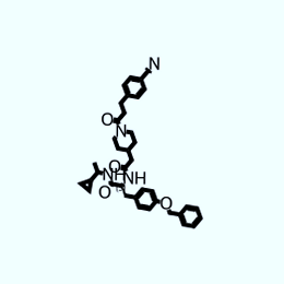 CC(NC(=O)[C@H](Cc1ccc(OCc2ccccc2)cc1)NC(=O)CC1CCN(C(=O)CCc2ccc(C#N)cc2)CC1)C1CC1